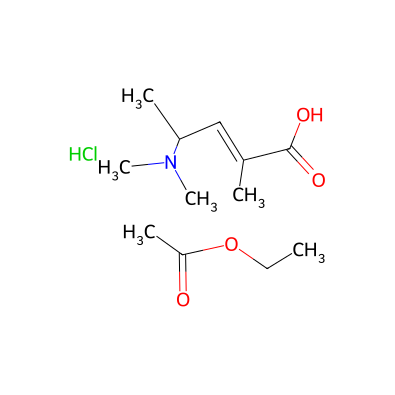 CC(=CC(C)N(C)C)C(=O)O.CCOC(C)=O.Cl